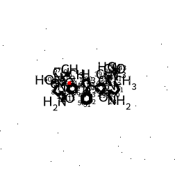 CC(C)[C@@H](C(=O)N1CCC[C@@]1(C(N)=O)c1ccc([C@@H]2CC[C@@H](c3ccc([C@]4(C(N)=O)CCCN4C(=O)[C@H](C(C)C)N(C)C(=O)O)cc3)N2c2ccccc2)cc1)N(C)C(=O)O